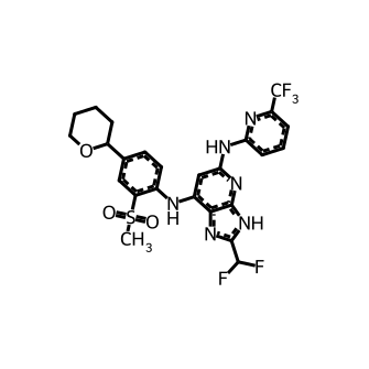 CS(=O)(=O)c1cc(C2CCCCO2)ccc1Nc1cc(Nc2cccc(C(F)(F)F)n2)nc2[nH]c(C(F)F)nc12